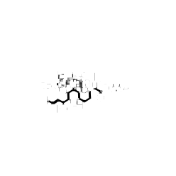 COC(=O)C[C@H]1CC[C@@H]2O[C@@H]([C@@H](O)/C=C/I)[C@@H](O[Si](C)(C)C(C)(C)C)[C@@H](O[Si](C)(C)C(C)(C)C)[C@H]2O1